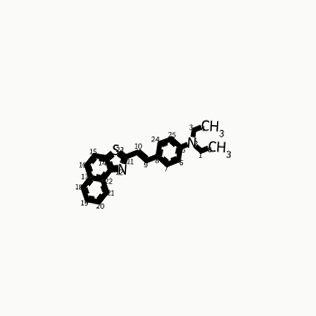 CCN(CC)c1ccc(C=Cc2nc3c(ccc4ccccc43)s2)cc1